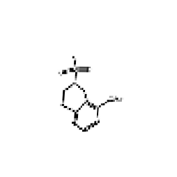 COc1ccnc2c1CC(S(C)(=O)=O)CC2